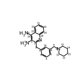 Nc1c(Cc2cccc(CN3CCCCC3)c2)nc2ccccc2c1N